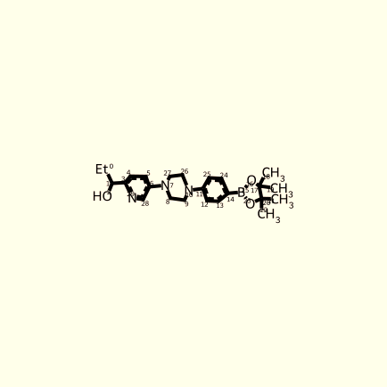 CCC(O)c1ccc(N2CCN(c3ccc(B4OC(C)(C)C(C)(C)O4)cc3)CC2)cn1